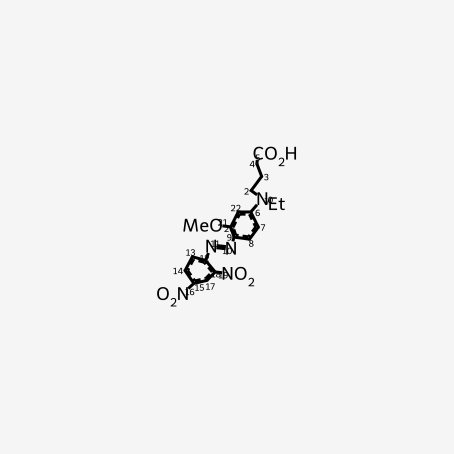 CCN(CCCC(=O)O)c1ccc(N=Nc2ccc([N+](=O)[O-])cc2[N+](=O)[O-])c(OC)c1